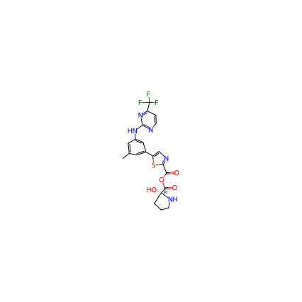 Cc1cc(Nc2nccc(C(F)(F)F)n2)cc(-c2cnc(C(=O)OC(=O)[C@]3(O)CCCN3)s2)c1